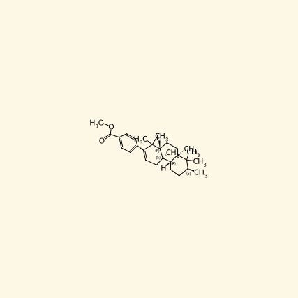 COC(=O)c1ccc(C2=CC[C@]3(C)[C@H]4CC[C@H](C)C(C)(C)[C@]4(C)CC[C@H]3C2(C)C)cc1